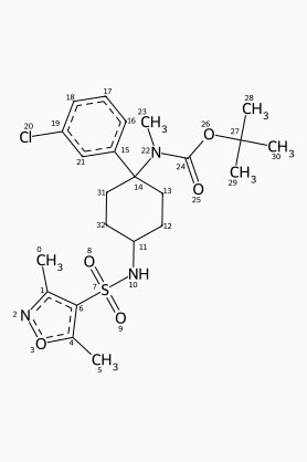 Cc1noc(C)c1S(=O)(=O)NC1CCC(c2cccc(Cl)c2)(N(C)C(=O)OC(C)(C)C)CC1